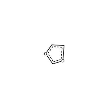 c1c[o+]co1